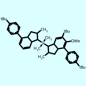 COC1=C(c2ccc(C(C)(C)C)cc2)C2CC(C)C([Si](C)(C)C3C(C)CC4C(c5ccc(C(C)(C)C)cc5)=CC=CC43)C2C=C1C(C)(C)C